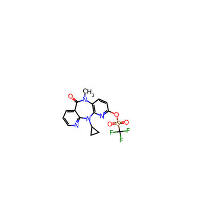 CN1C(=O)c2cccnc2N(C2CC2)c2nc(OS(=O)(=O)C(F)(F)F)ccc21